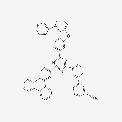 N#Cc1cccc(-c2cccc(-c3nc(-c4ccc5c(c4)oc4cccc(-c6ccccc6)c45)nc(-c4ccc5c6ccccc6c6ccccc6c5c4)n3)c2)c1